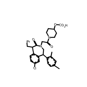 Cc1ccc(C2CN(CC(=O)N3CCC(OC(=O)O)CC3)C(=O)C(CC(C)C)c3ccc(Cl)cc32)c(C)c1